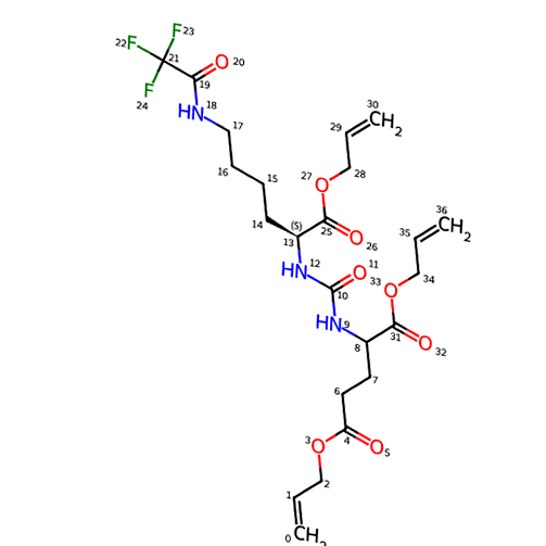 C=CCOC(=O)CCC(NC(=O)N[C@@H](CCCCNC(=O)C(F)(F)F)C(=O)OCC=C)C(=O)OCC=C